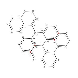 c1ccc(-c2cccc3cccc(-c4ccccc4N(c4ccccc4)c4cccc5ccccc45)c23)cc1